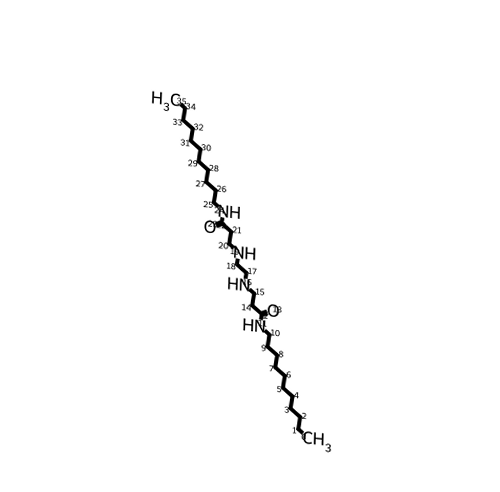 CCCCCCCCCCCNC(=O)CCNCCNCCC(=O)NCCCCCCCCCCC